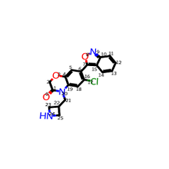 O=C1COc2cc(-c3onc4ccccc34)c(Cl)cc2N1CC1CNC1